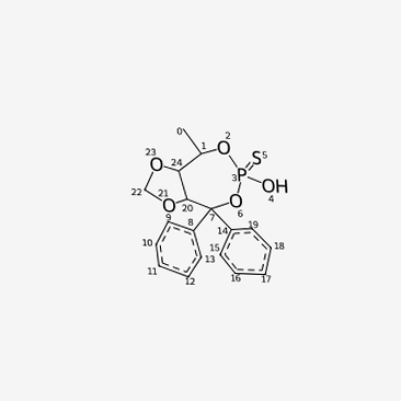 CC1OP(O)(=S)OC(c2ccccc2)(c2ccccc2)C2OCOC12